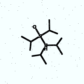 CC(C)[SiH](C(C)C)[Si]([O])(C(C)C)C(C)C